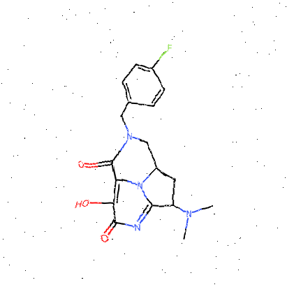 CN(C)C1CC2CN(Cc3ccc(F)cc3)C(=O)c3c(O)c(=O)nc1n32